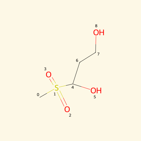 CS(=O)(=O)C(O)CCO